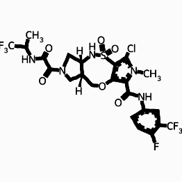 CC(NC(=O)C(=O)N1C[C@H]2COc3c(c(Cl)n(C)c3C(=O)Nc3ccc(F)c(C(F)(F)F)c3)S(=O)(=O)N[C@H]2C1)C(F)(F)F